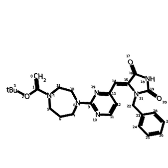 C=C(OC(C)(C)C)N1CCCN(c2nccc(/C=C3/C(=O)NC(=O)N3Cc3ccccc3)n2)CC1